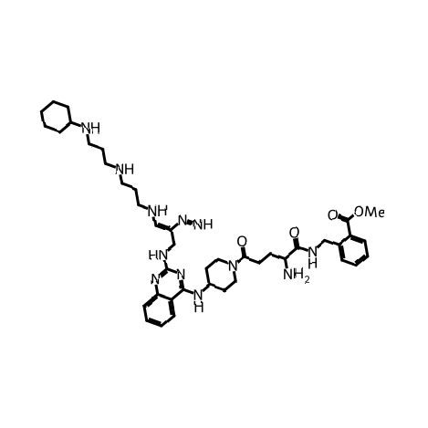 COC(=O)c1ccccc1CNC(=O)C(N)CCC(=O)N1CCC(Nc2nc(NC/C(=C/NCCCNCCCNC3CCCCC3)N=N)nc3ccccc23)CC1